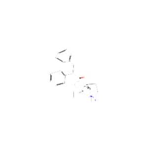 O=C(O[C@H]1CN2CCC1CC2)C(Cc1ccccc1)c1ccccc1